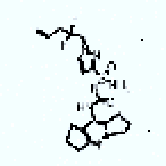 C=CCC(F)(F)Cn1ccc(S(N)(=O)=NC(=O)Nc2c3c(nc4c2CCC4)CCC3)n1